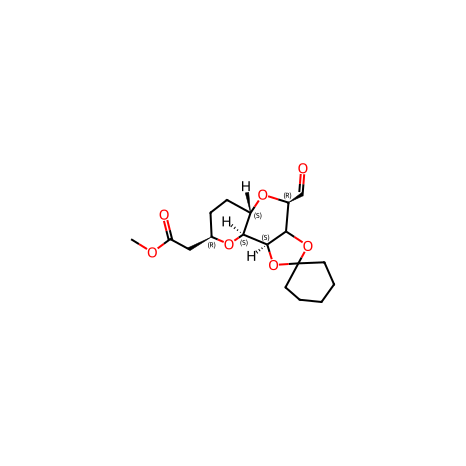 COC(=O)C[C@H]1CC[C@@H]2O[C@@H](C=O)C3OC4(CCCCC4)O[C@H]3[C@H]2O1